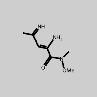 CON(C)C(=O)/C(N)=C/C(C)=N